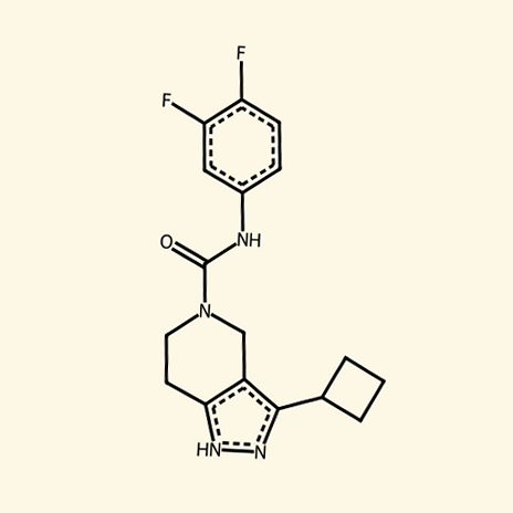 O=C(Nc1ccc(F)c(F)c1)N1CCc2[nH]nc(C3CCC3)c2C1